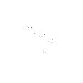 COC(=O)c1ccc(Cc2c(C)n(CCN3CCC[C@H]3CF)c3ccccc23)cc1